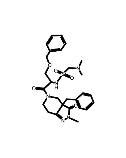 CN(C)CS(=O)(=O)NC(COCc1ccccc1)C(=O)N1CCC2=NN(C)C(=O)C2(Cc2ccccc2)C1